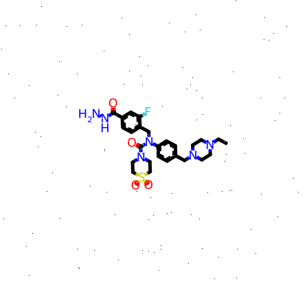 CCN1CCN(Cc2ccc(N(Cc3ccc(C(=O)NN)cc3F)C(=O)N3CCS(=O)(=O)CC3)cc2)CC1